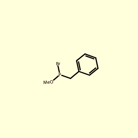 COP(Br)Cc1ccccc1